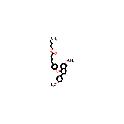 CCCCCOC(=O)CCCc1ccc(Oc2c(-c3ccc(OC)cc3)ccc3cc(OC)ccc23)cc1